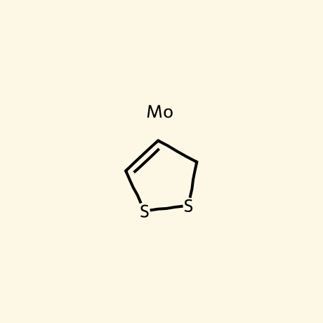 C1=CSSC1.[Mo]